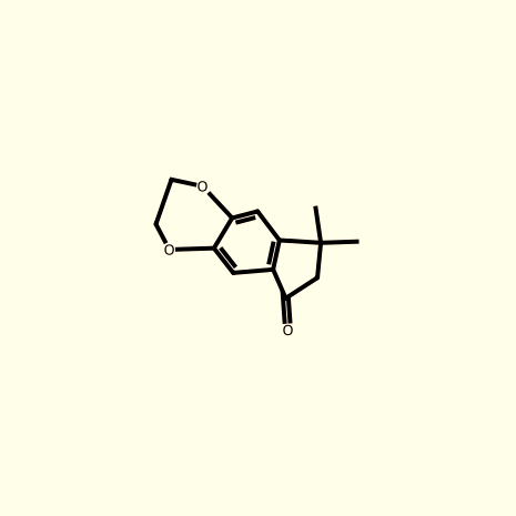 CC1(C)CC(=O)c2cc3c(cc21)OCCO3